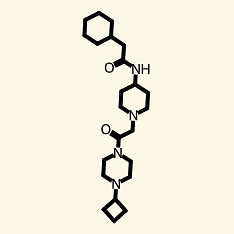 O=C(CC1CCCCC1)NC1CCN(CC(=O)N2CCN(C3CCC3)CC2)CC1